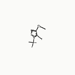 COc1cnn(C(C)(C)C)c1I